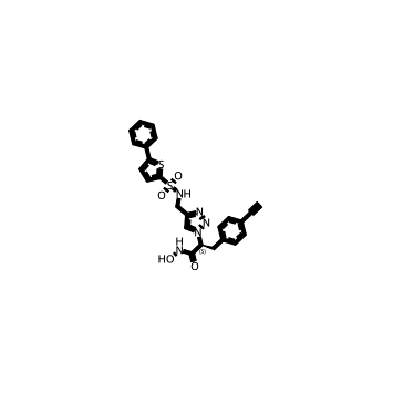 C#Cc1ccc(C[C@@H](C(=O)NO)n2cc(CNS(=O)(=O)c3ccc(-c4ccccc4)s3)nn2)cc1